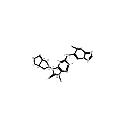 Cc1cc2ncnn2cc1Nc1ncc2c(n1)n(N1CC3CCCC3C1)c(=O)n2C